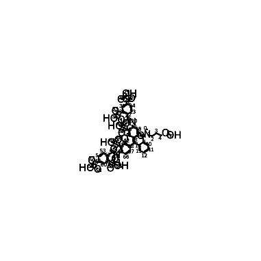 CN(CCCOO)C(=O)c1ccccc1-c1c2cc/c(=N/Cc3ccc(S(=O)(=O)O)cc3S(=O)(=O)O)c(S(=O)(=O)O)c-2oc2c(S(=O)(=O)O)c(NCc3ccc(S(=O)(=O)O)cc3S(=O)(=O)O)ccc12